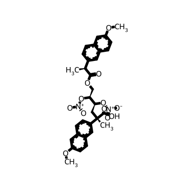 COc1ccc2cc([C@H](C)C(=O)OC[C@H](O[N+](=O)[O-])[C@H](C[C@](C)(C(=O)O)c3ccc4cc(OC)ccc4c3)O[N+](=O)[O-])ccc2c1